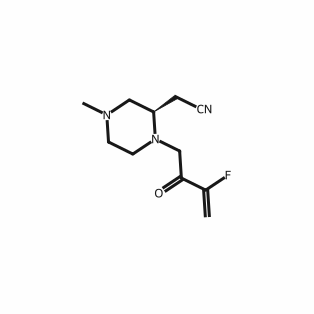 C=C(F)C(=O)CN1CCN(C)C[C@H]1CC#N